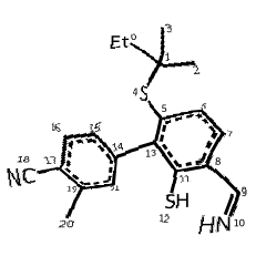 CCC(C)(C)Sc1ccc(C=N)c(S)c1-c1ccc(C#N)c(C)c1